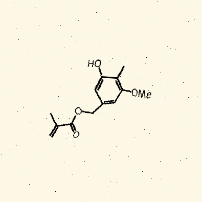 C=C(C)C(=O)OCc1cc(O)c(C)c(OC)c1